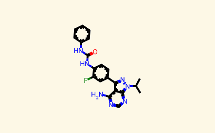 CC(C)n1nc(-c2ccc(NC(=O)Nc3ccccc3)c(F)c2)c2c(N)ncnc21